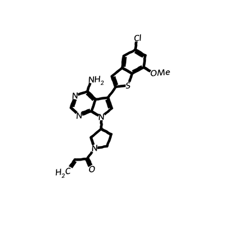 C=CC(=O)N1CCC(n2cc(-c3cc4cc(Cl)cc(OC)c4s3)c3c(N)ncnc32)C1